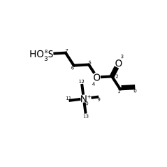 C=CC(=O)OCCCS(=O)(=O)O.C[N+](C)(C)C